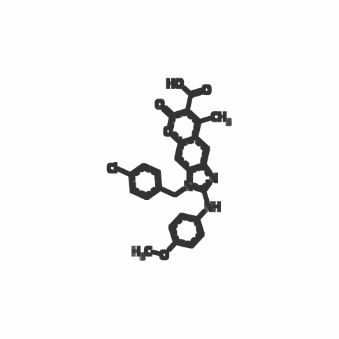 COc1ccc(Nc2nc3cc4c(C)c(C(=O)O)c(=O)oc4cc3n2Cc2ccc(Cl)cc2)cc1